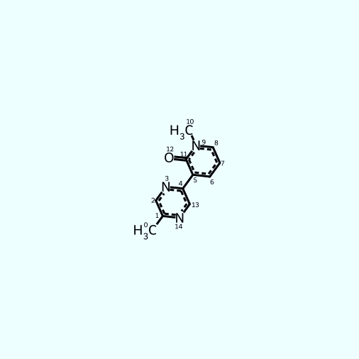 Cc1cnc(-c2cccn(C)c2=O)cn1